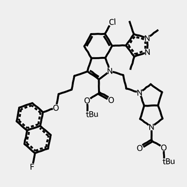 Cc1nn(C)c(C)c1C1=C(Cl)C=CC2C(CCCOc3cccc4cc(F)ccc34)=C(C(=O)OC(C)(C)C)N(CCN3CCC4CN(C(=O)OC(C)(C)C)CC43)C12